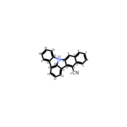 N#Cc1c2ccccc2cc2c1c1cccc3c4ccccc4n2c31